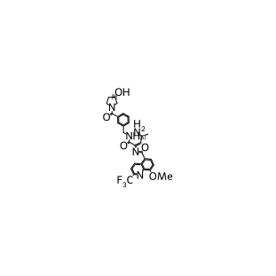 COc1ccc(-c2nc(C(=O)NCc3cccc(C(=O)N4CC[C@@H](O)C4)c3)c([C@H](C)N)o2)c2ccc(C(F)(F)F)nc12